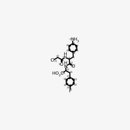 Nc1ccc(CC(NC(=O)CCl)C(=O)NC(Cc2ccc(F)cc2)C(=O)O)cc1